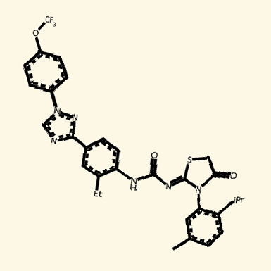 CCc1cc(-c2ncn(-c3ccc(OC(F)(F)F)cc3)n2)ccc1NC(=O)/N=C1\SCC(=O)N1c1cc(C)ccc1C(C)C